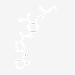 COC(=O)/C=C/c1ccc(NC(=O)c2cccc(NC3=NCCCN3)c2)cc1C(=O)O